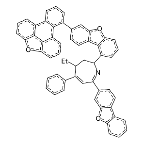 CCC1CC(c2cccc3oc4cc(-c5cccc6c7cccc8oc9cccc(c56)c9c87)ccc4c23)N=C(c2ccc3c(c2)oc2ccccc23)C=C1c1ccccc1